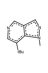 Cn1ncc2cncc(C(C)(C)C)c21